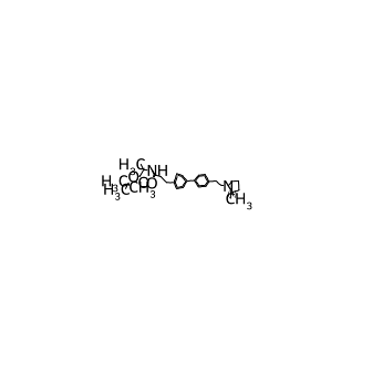 CC(NC(=O)CCc1ccc(-c2ccc(CCN3CCC[C@H]3C)cc2)cc1)C(=O)OC(C)(C)C